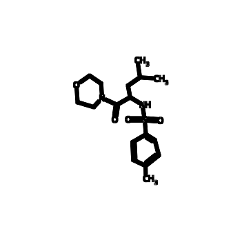 Cc1ccc(S(=O)(=O)NC(CC(C)C)C(=O)N2CCOCC2)cc1